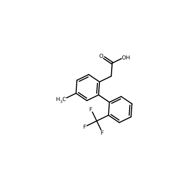 Cc1ccc(CC(=O)O)c(-c2ccccc2C(F)(F)F)c1